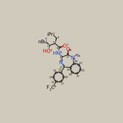 CCCC[C@H](O)[C@@H](CC(C)C)C(=O)NC1N=C(c2ccc(C(F)(F)F)cc2)c2ccccc2N(C)C1=O